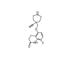 N#CC1(COc2ccc(F)c3c2CCC(=O)N3)CCNCC1